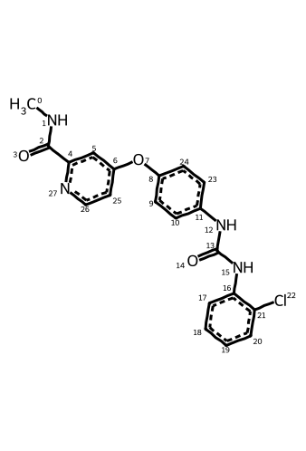 CNC(=O)c1cc(Oc2ccc(NC(=O)Nc3ccccc3Cl)cc2)ccn1